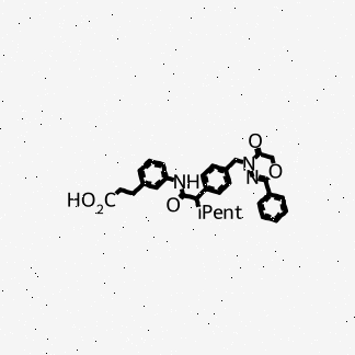 CCCC(C)C(C(=O)Nc1cccc(CCC(=O)O)c1)c1ccc(CN2N=C(c3ccccc3)OCC2=O)cc1